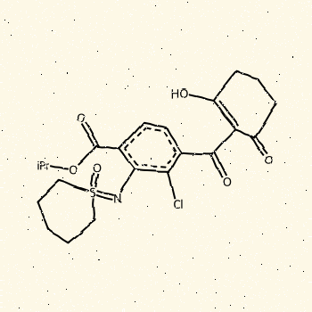 CC(C)OC(=O)c1ccc(C(=O)C2=C(O)CCCC2=O)c(Cl)c1N=S1(=O)CCCCC1